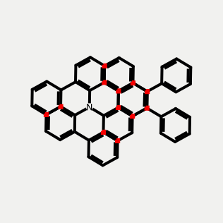 c1ccc(-c2ccccc2N(c2c(-c3ccccc3)cccc2-c2ccccc2)c2cccc3c(-c4ccccc4)c(-c4ccccc4)c4ccccc4c23)cc1